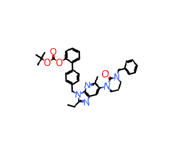 CCc1nc2cc(N3CCCN(Cc4ccccc4)C3=O)c(C)nc2n1Cc1ccc(-c2ccccc2OC(=O)OC(C)(C)C)cc1